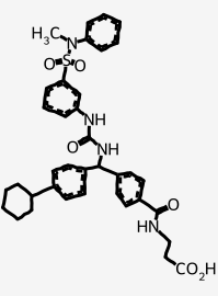 CN(c1ccccc1)S(=O)(=O)c1cccc(NC(=O)NC(c2ccc(C(=O)NCCC(=O)O)cc2)c2ccc(C3CCCCC3)cc2)c1